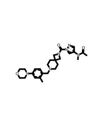 CC(=O)N(C)c1cnn(C(=O)N2CC3(CCN(Cc4ccc(N5CCOCC5)cc4C)CC3)C2)c1